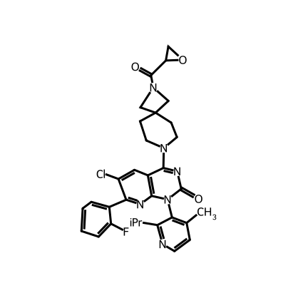 Cc1ccnc(C(C)C)c1-n1c(=O)nc(N2CCC3(CC2)CN(C(=O)C2CO2)C3)c2cc(Cl)c(-c3ccccc3F)nc21